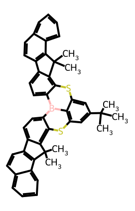 CC(C)(C)c1cc2c3c(c1)Sc1c(ccc4c1C(C)(C)c1c-4ccc4ccccc14)B3c1ccc3c(c1S2)C(C)(C)c1c-3ccc2ccccc12